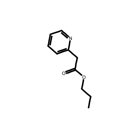 CCCOC(=O)Cc1ccccn1